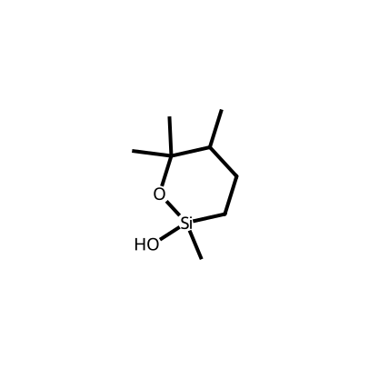 CC1CC[Si](C)(O)OC1(C)C